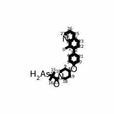 Cc1c(-c2ccc(OC3CCN(C(=O)C(C)(C)[AsH2])CC3)cc2)ccc2cccnc12